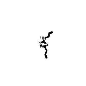 C=CCNc1nnc(CC=C)s1